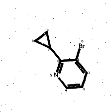 Brc1cccnc1C1CC1